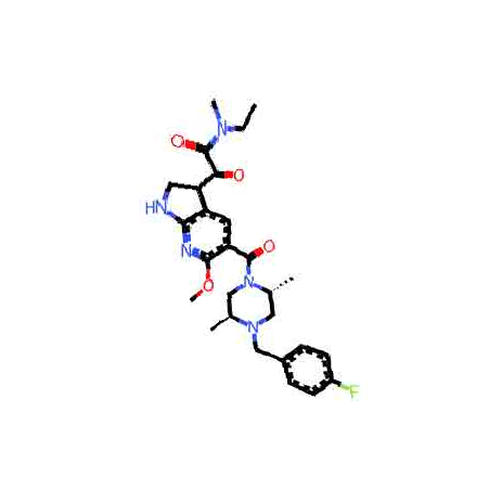 CCN(C)C(=O)C(=O)C1CNc2nc(OC)c(C(=O)N3C[C@H](C)N(Cc4ccc(F)cc4)C[C@H]3C)cc21